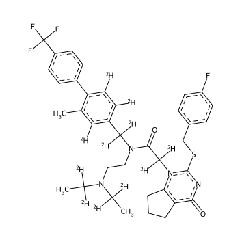 [2H]c1c([2H])c(C([2H])([2H])N(CCN(C([2H])([2H])C)C([2H])([2H])C)C(=O)C([2H])([2H])n2c(SCc3ccc(F)cc3)nc(=O)c3c2CCC3)c([2H])c(C)c1-c1ccc(C(F)(F)F)cc1